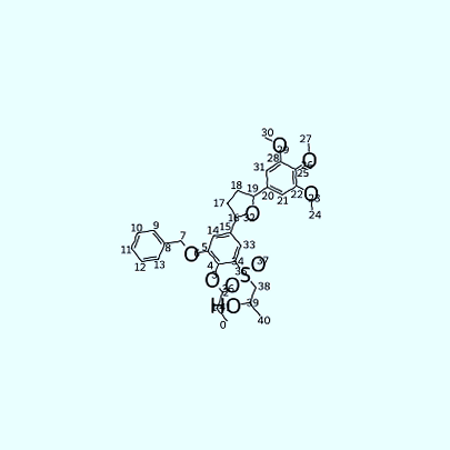 CCCOc1c(OCc2ccccc2)cc(C2CCC(c3cc(OC)c(OC)c(OC)c3)O2)cc1S(=O)(=O)CC(C)O